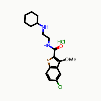 COc1c(C(=O)NCCNC2CCCCC2)sc2ccc(Cl)cc12.Cl